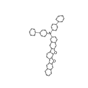 c1ccc(-c2ccc(N(c3ccc(-c4ccccc4)cc3)c3ccc4cc5oc6c(ccc7c8cc9ccccc9cc8oc76)c5cc4c3)cc2)cc1